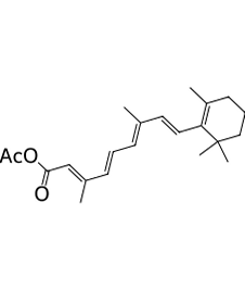 CC(=O)OC(=O)C=C(C)C=CC=C(C)C=CC1=C(C)CCCC1(C)C